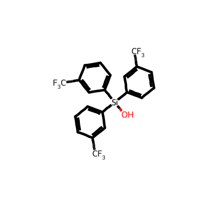 O[Si](c1cccc(C(F)(F)F)c1)(c1cccc(C(F)(F)F)c1)c1cccc(C(F)(F)F)c1